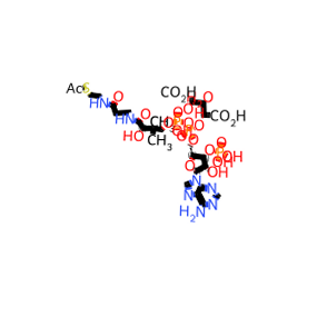 CC(=O)SCCNC(=O)CCNC(=O)[C@H](O)C(C)(C)COP(=O)(O)OP(=O)(O)OC[C@H]1O[C@@H](n2cnc3c(N)ncnc32)[C@H](O)[C@@H]1OP(=O)(O)O.O.O=C(O)CCC(=O)C(=O)O